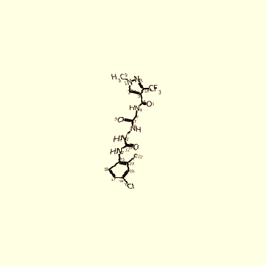 Cn1cc(C(=O)NCC(=O)NNC(=O)Nc2ccc(Cl)cc2F)c(C(F)(F)F)n1